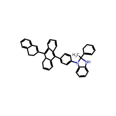 CC1(C2=CC=CCC2)Nc2ccccc2N1c1ccc(C2=c3ccccc3=C(C3=Cc4ccccc4CC3)C3CC=CC=C23)cc1